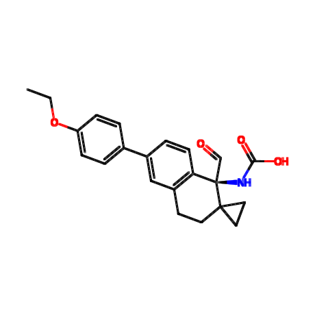 CCOc1ccc(-c2ccc3c(c2)CCC2(CC2)[C@]3(C=O)NC(=O)O)cc1